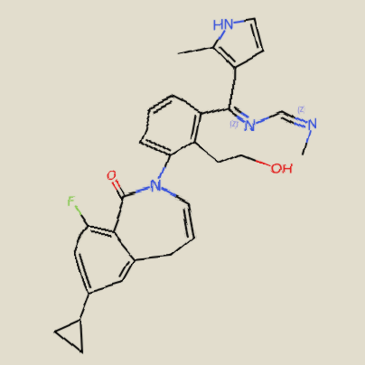 C/N=C\N=C(/c1cc[nH]c1C)c1cccc(N2C=CCc3cc(C4CC4)cc(F)c3C2=O)c1CCO